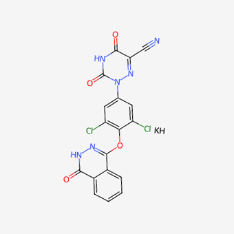 N#Cc1nn(-c2cc(Cl)c(Oc3n[nH]c(=O)c4ccccc34)c(Cl)c2)c(=O)[nH]c1=O.[KH]